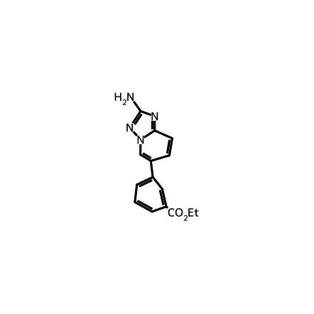 CCOC(=O)c1cccc(-c2ccc3nc(N)nn3c2)c1